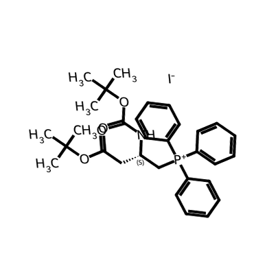 CC(C)(C)OC(=O)C[C@@H](C[P+](c1ccccc1)(c1ccccc1)c1ccccc1)NC(=O)OC(C)(C)C.[I-]